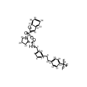 O=C(NCc1cccc(CCc2ccc(C(F)(F)F)cc2)c1)[C@@H]1CCCN1S(=O)(=O)c1cc2ccccc2o1